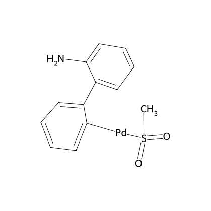 C[S](=O)(=O)[Pd][c]1ccccc1-c1ccccc1N